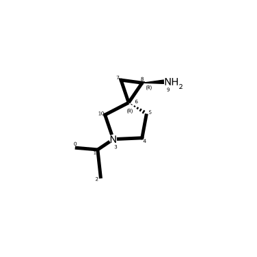 CC(C)N1CC[C@@]2(C[C@H]2N)C1